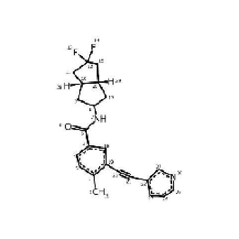 Cc1ccc(C(=O)NC2C[C@@H]3CC(F)(F)C[C@@H]3C2)cc1C#Cc1cccnc1